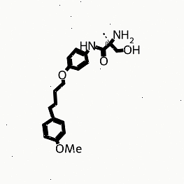 COc1ccc(CCCCOc2ccc(NC(=O)[C@@](C)(N)CO)cc2)cc1